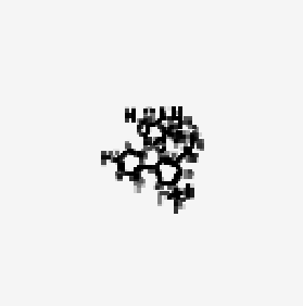 CC1(C)OB(c2cc(F)cc(F)c2-c2cc(C(F)(F)F)cc(C(F)(F)F)c2)OC1(C)C